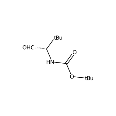 CC(C)(C)OC(=O)N[C@H](C=O)C(C)(C)C